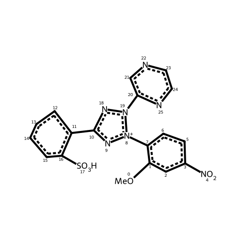 COc1cc([N+](=O)[O-])ccc1-[n+]1nc(-c2ccccc2S(=O)(=O)O)nn1-c1cnccn1